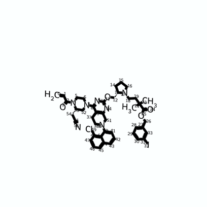 C=CC(=O)N1CCN(c2nc(OC[C@@H]3CCCN3CCC(C)(C)C(=O)OCc3cccc(I)c3)nc3c2CCN(c2cccc4cccc(Cl)c24)C3)C[C@@H]1CC#N